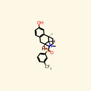 CC1CC[C@]2(C)c3cc(O)ccc3C[C@@H]1[C@H]2N(C)S(=O)(=O)c1cccc(C(F)(F)F)c1